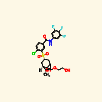 C[C@H]1CC2C[C@@H](S(=O)(=O)c3cc(C(=O)Nc4cc(F)c(F)c(F)c4)ccc3Cl)C[C@H]1[C@@]2(O)COCCO